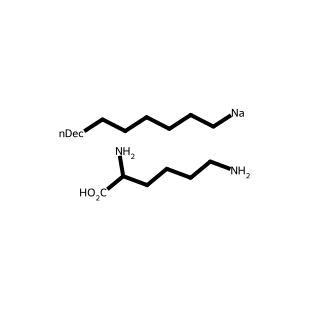 CCCCCCCCCCCCCCC[CH2][Na].NCCCCC(N)C(=O)O